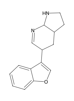 C1=NC2NCCC2CC1c1coc2ccccc12